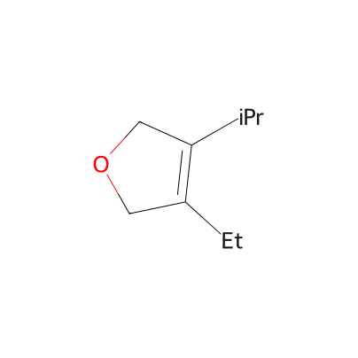 CCC1=C(C(C)C)COC1